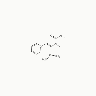 CN(C=Cc1ccccc1)C(N)=O.[SiH3]O[SiH3]